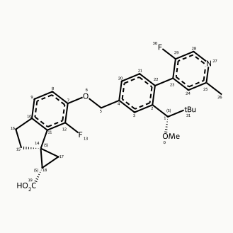 CO[C@H](c1cc(COc2ccc3c(c2F)[C@@]2(CC3)C[C@@H]2C(=O)O)ccc1-c1cc(C)ncc1F)C(C)(C)C